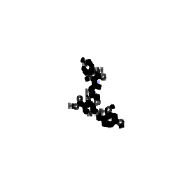 COc1ccc(CNc2cc(N/C(C=O)=C/C(C)=C3/C(=O)NC4(CCN(C)CC4)N3C)c(C(=O)O)cn2)c(OC)c1